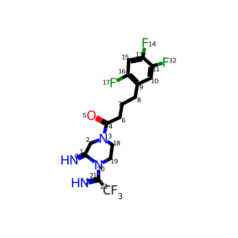 N=C1CN(C(=O)CCCc2cc(F)c(F)cc2F)CCN1C(=N)C(F)(F)F